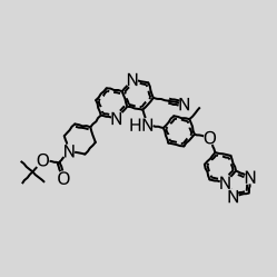 Cc1cc(Nc2c(C#N)cnc3ccc(C4=CCN(C(=O)OC(C)(C)C)CC4)nc23)ccc1Oc1ccn2ncnc2c1